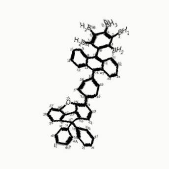 Bc1c(B)c(B)c(-c2c3ccccc3c(-c3ccc(-c4ccc5c6c4oc4cccc(c46)C5(c4ccccc4)c4ccccc4)cc3)c3ccccc23)c(B)c1B